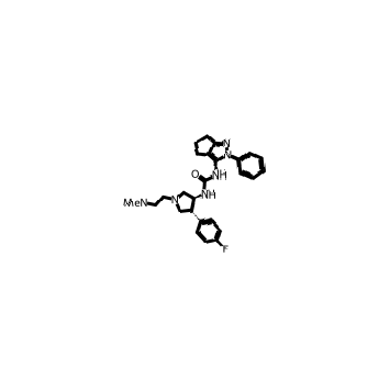 CNCCN1C[C@@H](NC(=O)Nc2c3c(nn2-c2ccccc2)CCC3)[C@H](c2ccc(F)cc2)C1